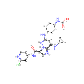 O=C(O)N[C@H]1CC[C@H](Nc2cc(NC3CC3)c3ncc(C(=O)Nc4ccnc(Cl)c4)n3n2)CC1